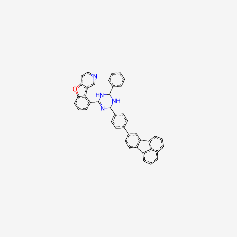 c1ccc(C2NC(c3cccc4oc5ccncc5c34)=NC(c3ccc(-c4ccc5c(c4)-c4cccc6cccc-5c46)cc3)N2)cc1